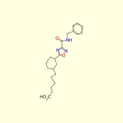 O=C(O)CCCCCC1CCCC(c2nc(C(=O)NCc3ccccc3)no2)C1